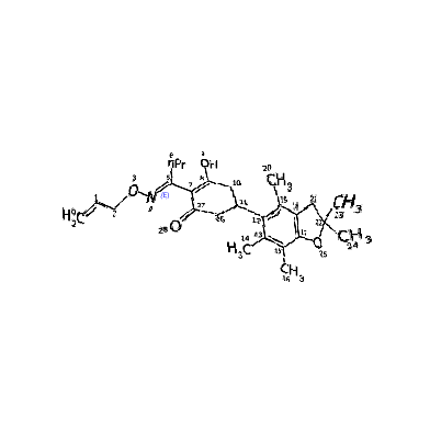 C=CCO/N=C(\CCC)C1=C(O)CC(c2c(C)c(C)c3c(c2C)CC(C)(C)O3)CC1=O